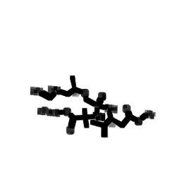 C=C(C)[C@H](CC(=O)OC(C)C)NP(=O)(CO[C@H](C)CNC=N)NC(C)(C)C(=O)OCCCCC